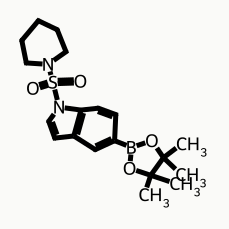 CC1(C)OB(c2ccc3c(ccn3S(=O)(=O)N3CCCCC3)c2)OC1(C)C